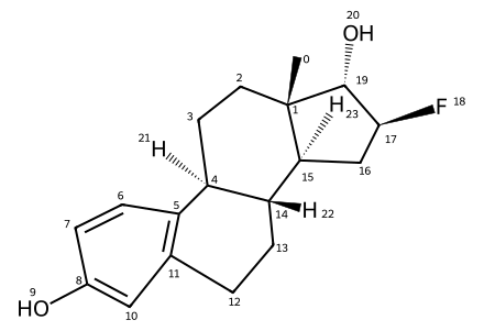 C[C@]12CC[C@@H]3c4ccc(O)cc4CC[C@H]3[C@@H]1C[C@H](F)[C@H]2O